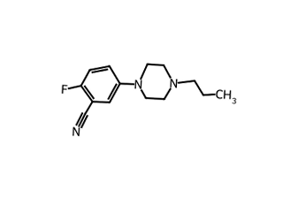 CCCN1CCN(c2ccc(F)c(C#N)c2)CC1